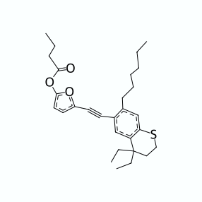 CCCCCCc1cc2c(cc1C#Cc1ccc(OC(=O)CCC)o1)C(CC)(CC)CCS2